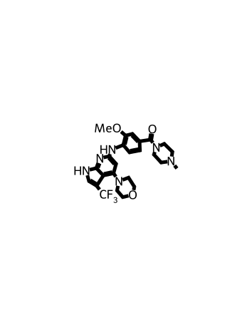 COc1cc(C(=O)N2CCN(C)CC2)ccc1Nc1cc(N2CCOCC2)c2c(C(F)(F)F)c[nH]c2n1